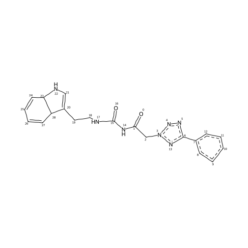 O=C(Cn1nnc(-c2ccccc2)n1)NC(=O)NCCC1=CNC2C=CC=CC12